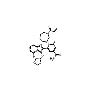 C=CC(=O)N1CCCC[C@@H](N2C(c3nc4cccc(Cl)c4n3OC3CCOC3)=CC(C(N)=O)=CC2C)C1